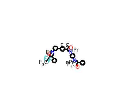 CCCN(/C=C(\C(=O)C(F)(F)F)c1ccccc1)c1ccc(N(/C=C(\C(=O)C(F)(F)F)c2ccc(-c3cccc(N(/C=C(\C(=O)C(F)(F)C(F)(F)C(F)(F)F)c4ccccc4)CC)c3)cc2)CCC)cc1